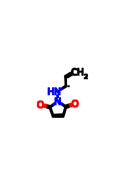 C=C[CH]NN1C(=O)C=CC1=O